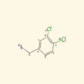 Clc1ccc(CI)cc1Cl